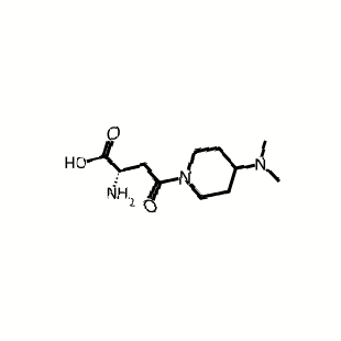 CN(C)C1CCN(C(=O)C[C@H](N)C(=O)O)CC1